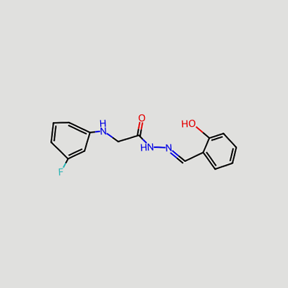 O=C(CNc1cccc(F)c1)NN=Cc1ccccc1O